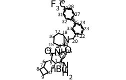 CCCC[C@H](C(N)=O)[C@@H](CC1CCC1)C(=O)N[C@H]1CCCCN(Cc2cccc(-c3ccc(C(F)(F)F)cc3)c2)C1=O